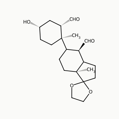 C[C@]12CCC([C@@]3(C)CC[C@H](O)C[C@@H]3C=O)[C@@H](C=O)C1CCC21OCCO1